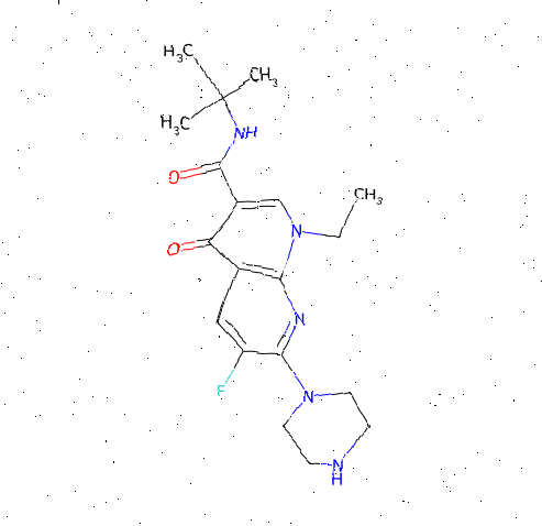 CCn1cc(C(=O)NC(C)(C)C)c(=O)c2cc(F)c(N3CCNCC3)nc21